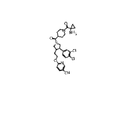 N#Cc1ccc(OCCC2CN(C(=O)C3CCN(C(=O)C4(N)CC4)CC3)CC2c2ccc(Cl)c(Cl)c2)nc1